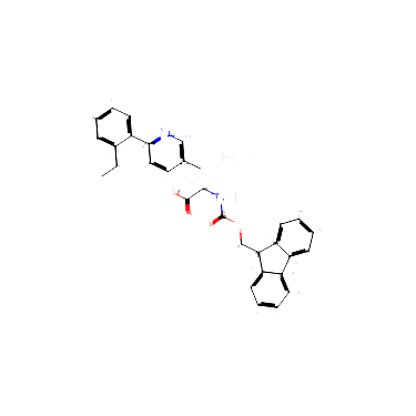 CCc1ccccc1-c1ccc(C[C@H](NC(=O)OCC2c3ccccc3-c3ccccc32)C(=O)O)cn1.Cl